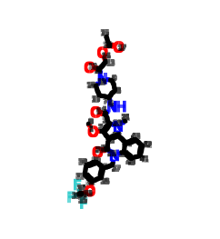 COc1c(C(=O)NC2CCN(C(=O)COC(C)=O)CC2)n(C)c2c1c(=O)n(Cc1cccc(OC(F)(F)F)c1)c1ccccc21